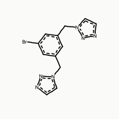 Brc1cc(Cn2ccnn2)cc(Cn2ccnn2)c1